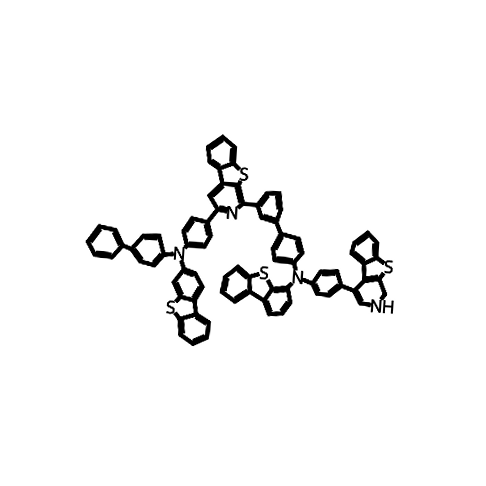 C1=C(c2ccc(N(c3ccc(-c4cccc(-c5nc(-c6ccc(N(c7ccc(-c8ccccc8)cc7)c7ccc8c(c7)sc7ccccc78)cc6)cc6c5sc5ccccc56)c4)cc3)c3cccc4c3sc3ccccc34)cc2)c2c(sc3ccccc23)CN1